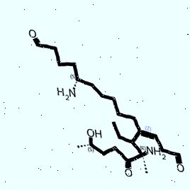 CCC(/C(=C\CC=O)CCCCC[C@H](N)CCCC=O)[C@@](C)(N)C(=O)CC[C@H](C)O